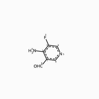 Nc1c(F)cncc1C=O